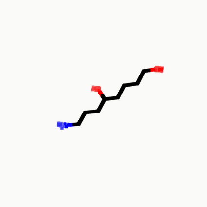 NCCCC(O)CCCCO